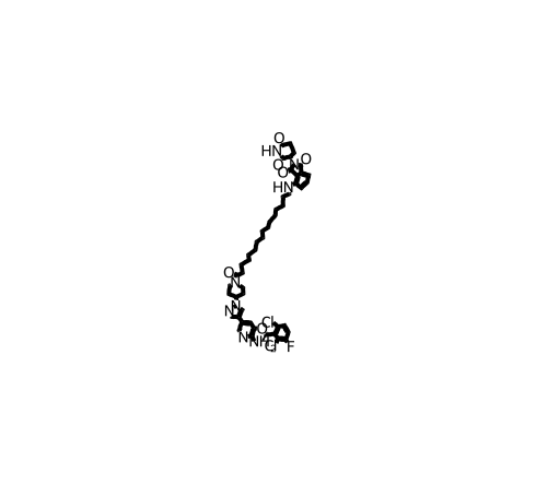 C[C@@H](Oc1cc(-c2cnn(C3CCN(C(=O)CCCCCCCCCCCCCCCNc4cccc5c4C(=O)N(C4CCC(=O)NC4=O)C5=O)CC3)c2)cnc1N)c1c(Cl)ccc(F)c1Cl